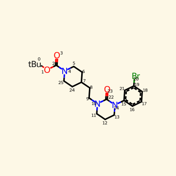 CC(C)(C)OC(=O)N1CCC(CCN2CCCN(c3cccc(Br)c3)C2=O)CC1